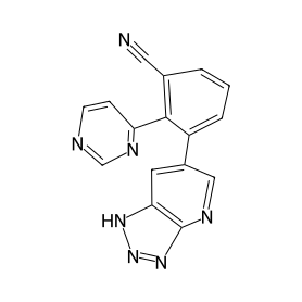 N#Cc1cccc(-c2cnc3nn[nH]c3c2)c1-c1ccncn1